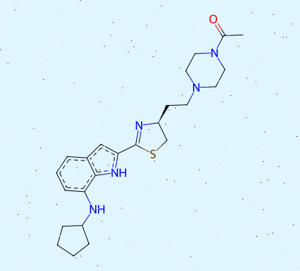 CC(=O)N1CCN(CC[C@H]2CSC(c3cc4cccc(NC5CCCC5)c4[nH]3)=N2)CC1